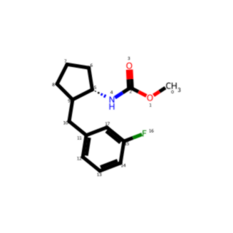 COC(=O)N[C@H]1CCCC1Cc1cccc(F)c1